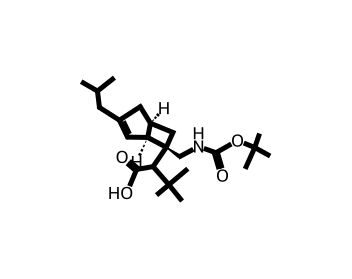 CC(C)CC1=C[C@H]2[C@@H](C1)C[C@]2(CNC(=O)OC(C)(C)C)C(C(=O)O)C(C)(C)C